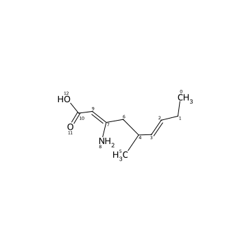 CCC=CC(C)CC(N)=CC(=O)O